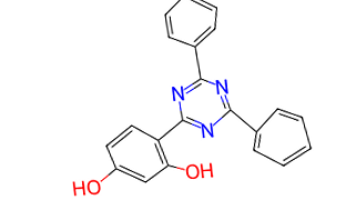 Oc1ccc(-c2nc(-c3ccccc3)nc(-c3ccccc3)n2)c(O)c1